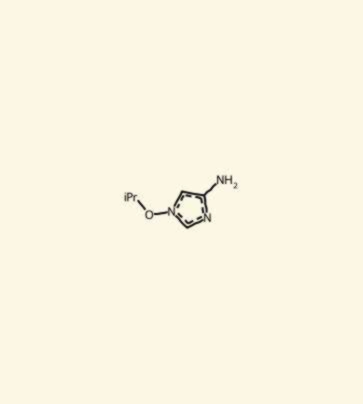 CC(C)On1cnc(N)c1